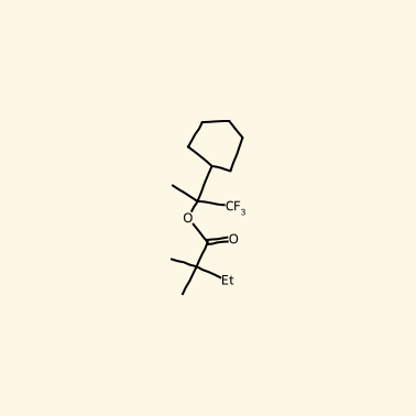 CCC(C)(C)C(=O)OC(C)(C1CCCCC1)C(F)(F)F